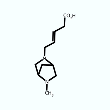 CN1CC2CC1CN2C/C=C/CC(=O)O